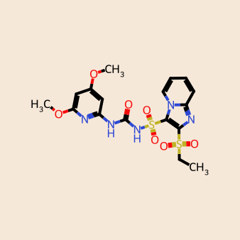 CCS(=O)(=O)c1nc2ccccn2c1S(=O)(=O)NC(=O)Nc1cc(OC)cc(OC)n1